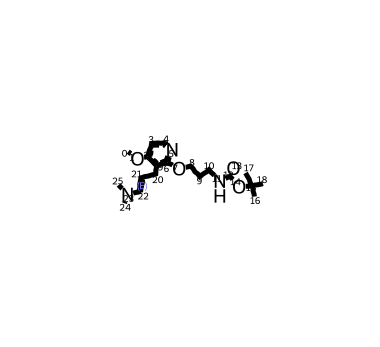 COc1ccnc(OCCCNC(=O)OC(C)(C)C)c1C/C=C/N(C)C